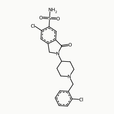 NS(=O)(=O)c1cc2c(cc1Cl)CN(C1CCN(Cc3ccccc3Cl)CC1)C2=O